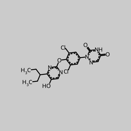 CCC(CC)c1nc(Oc2c(Cl)cc(-n3ncc(=O)[nH]c3=O)cc2Cl)ncc1O